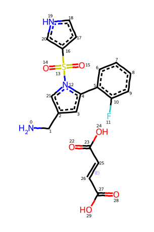 NCc1cc(-c2ccccc2F)n(S(=O)(=O)c2cc[nH]c2)c1.O=C(O)/C=C/C(=O)O